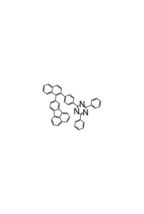 c1ccc(-c2nc(-c3ccccc3)nc(-c3ccc(-c4ccc5ccccc5c4-c4ccc5c(c4)-c4cccc6cccc-5c46)cc3)n2)cc1